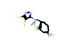 CCN(Cc1ccc(C(F)(F)F)cc1F)c1ncnc(F)c1F